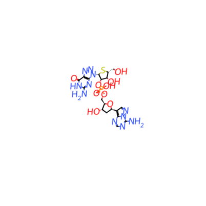 Nc1nc2c(nnn2[C@@H]2S[C@H](CO)[C@@H](O)[C@H]2OP(=O)(O)OC[C@H]2O[C@@H](c3cnn4c(N)ncnc34)C[C@@H]2O)c(=O)[nH]1